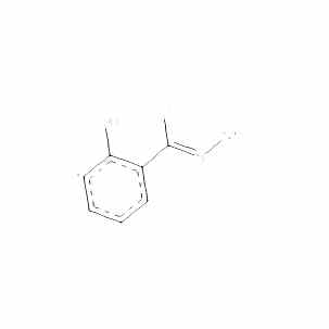 CN/N=C(\C)c1ccccc1O